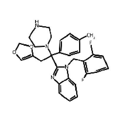 Cc1ccc(C(CC2=COCO2)(c2nc3ccccc3n2Cc2c(F)cccc2F)N2CCNCC2)cc1